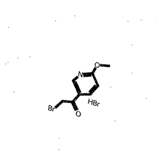 Br.COc1ccc(C(=O)CBr)cn1